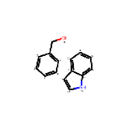 OCc1ccccc1.c1ccc2[nH]ccc2c1